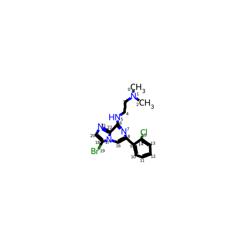 CN(C)CCNc1nc(-c2ccccc2Cl)cn2c(Br)cnc12